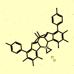 Cc1ccc(-c2c(C)c(C)c(C)c3c2C=C(C(C)C)[CH]3[Zr+2]2([CH]3C(C(C)C)=Cc4c(-c5ccc(C)cc5)c(C)c(C)c(C)c43)[CH2][CH2]2)cc1.[Cl-].[Cl-]